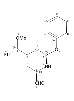 CC[C@@H](CO[P@](N[C@H](C)C=O)Oc1ccccc1)OC